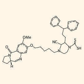 COc1cc2c(cc1OCCCCCN1CCN(C(=S)S)C(CCC(c3ccccc3)c3ccccc3)C1C#N)N=C[C@@H]1CCCN1C2=O